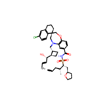 C=CC[C@@H](C)[C@@H](C[C@H]1CCCO1)S(=O)(=O)NC(=O)c1ccc2c(c1)N(C[C@@H]1CC[C@H]1[C@@H](O)/C=C/CCC)C[C@@]1(CCCc3cc(Cl)ccc31)CO2